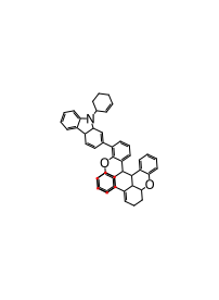 C1=CCC2Oc3c(C4=CC5C(C=C4)c4ccccc4N5C4C=CCCC4)cccc3C(C3c4ccccc4OC4CCC=C(c5ccccc5)C43)C2=C1